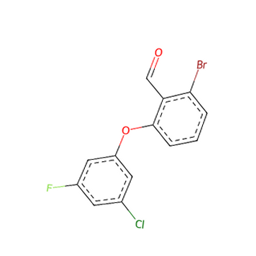 O=Cc1c(Br)cccc1Oc1cc(F)cc(Cl)c1